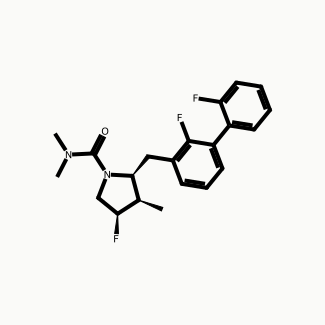 C[C@H]1[C@@H](F)CN(C(=O)N(C)C)[C@H]1Cc1cccc(-c2ccccc2F)c1F